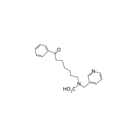 O=C(CCCCCCN(Cc1cccnc1)C(=O)O)c1ccccc1